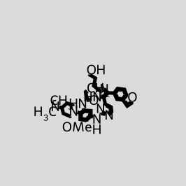 C=CC(=O)Nc1cc(Nc2nccc(-c3[nH]c(CCCO)nc3-c3ccc4occc4c3)n2)c(OC)cc1N1CCC(N(C)C)CC1